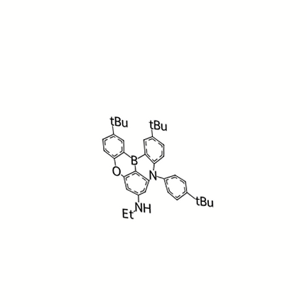 CCNc1cc2c3c(c1)N(c1ccc(C(C)(C)C)cc1)c1ccc(C(C)(C)C)cc1B3c1cc(C(C)(C)C)ccc1O2